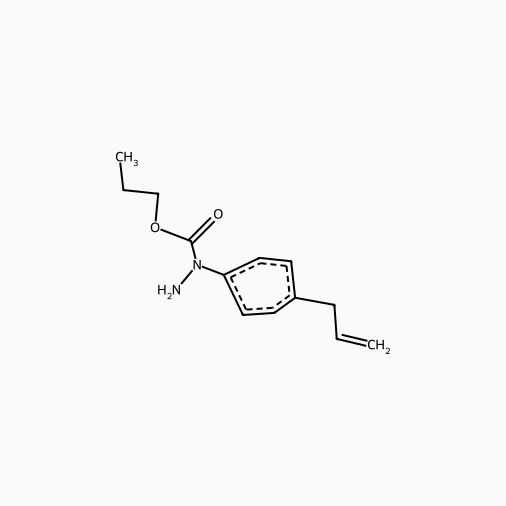 C=CCc1ccc(N(N)C(=O)OCCC)cc1